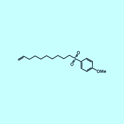 C=CCCCCCCCCS(=O)(=O)c1ccc(OC)cc1